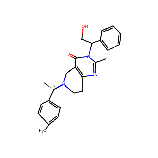 Cc1nc2c(c(=O)n1C(CO)c1ccccc1)CN([C@@H](C)c1ccc(C(F)(F)F)cc1)CC2